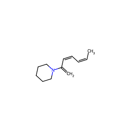 C=C(/C=C\C=C/C)N1CCCCC1